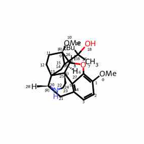 COc1ccc2c3c1O[C@H]1[C@@]4(OC)CCC5(C[C@@H]4C(C)(O)C(C)(C)C)[C@@H](C2)NCC[C@]315